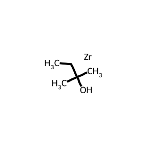 CCC(C)(C)O.[Zr]